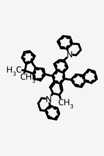 CC1C=c2c(-c3ccc4ccccc4c3)c3cc(N4CCCc5ccccc54)ccc3c(-c3ccc4c(c3)-c3ccccc3C4(C)C)c2=CC1N1CCCc2ccccc21